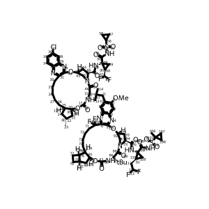 COc1cc2nc3c(nc2cc1CC(C)(C)[C@@H]1NC(=O)O[C@@H]2C[C@H](C)C[C@H]2CCCCCc2nc4ccc(Cl)cc4nc2O[C@@H]2C[C@@H](C(=O)N[C@]4(C(=O)NS(=O)(=O)C5CC5)C[C@H]4C(F)F)N(C2)C1=O)C(F)(F)CCCC[C@@H]1[C@H]2CC[C@H]2C[C@H]1OC(=O)N[C@@H](C(C)(C)C)C(=O)N1C[C@@H](C[C@H]1C(=O)N[C@]1(C(=O)NS(=O)(=O)C2(C)CC2)C[C@H]1CC(F)F)O3